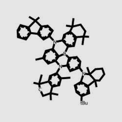 Cc1cc2c3c(c1)N(c1cc4c(cc1C)C(C)(C)CCC4(C)C)c1cc(N4c5ccc(C(C)(C)C)cc5C5(C)CCCCC45C)ccc1B3c1cc3c(cc1N2c1ccc2c(c1)-c1ccccc1C2(C)C)C(C)(C)CCC3(C)C